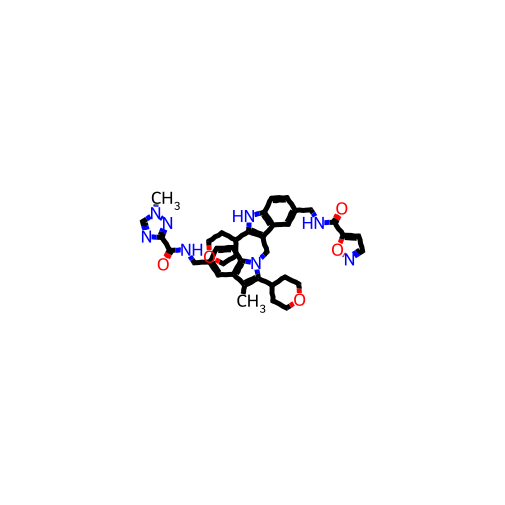 Cc1c(C2CCOCC2)n(Cc2c(C3CCOCC3)[nH]c3ccc(CNC(=O)c4ccno4)cc23)c2ccc(CNC(=O)c3ncn(C)n3)cc12